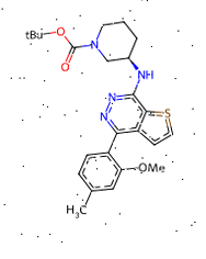 COc1cc(C)ccc1-c1nnc(N[C@@H]2CCCN(C(=O)OC(C)(C)C)C2)c2sccc12